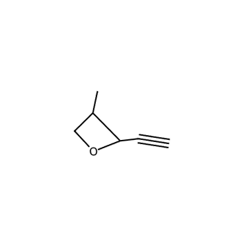 C#CC1OCC1C